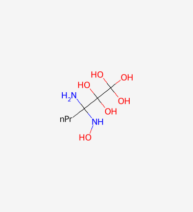 CCCC(N)(NO)C(O)(O)C(O)(O)O